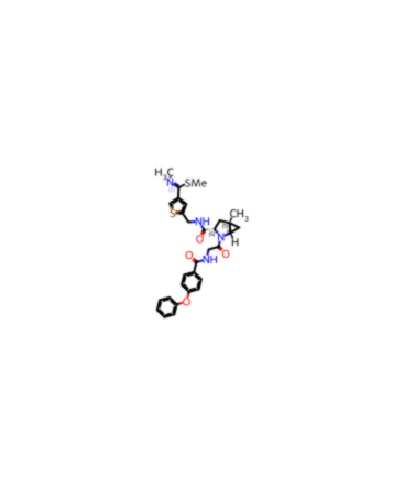 C/N=C(\SC)c1csc(CNC(=O)[C@@H]2C[C@]3(C)C[C@@H]3N2C(=O)CNC(=O)c2ccc(Oc3ccccc3)cc2)c1